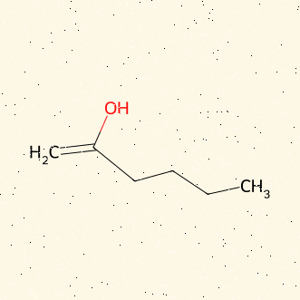 C=C(O)CCCC